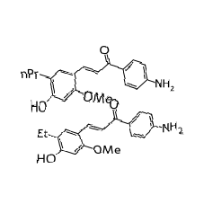 CCCc1cc(C=CC(=O)c2ccc(N)cc2)c(OC)cc1O.CCc1cc(C=CC(=O)c2ccc(N)cc2)c(OC)cc1O